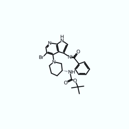 CC(C)(C)OC(=O)N[C@@H]1CCCN(c2c(Br)cnc3[nH]cc(NC(=O)c4ccccc4)c23)C1